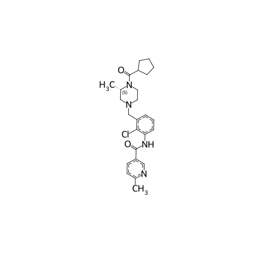 Cc1ccc(C(=O)Nc2cccc(CN3CCN(C(=O)C4CCCC4)[C@@H](C)C3)c2Cl)cn1